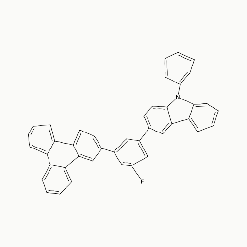 Fc1cc(-c2ccc3c4ccccc4c4ccccc4c3c2)cc(-c2ccc3c(c2)c2ccccc2n3-c2ccccc2)c1